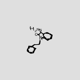 NN=C1C(=O)N(CCc2ccccc2)c2ccccc21